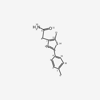 Cc1ccc(-c2nc(CC(N)=O)c(C)s2)cc1